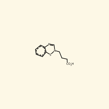 O=C(O)CCCN1C=Nc2ccccc2S1